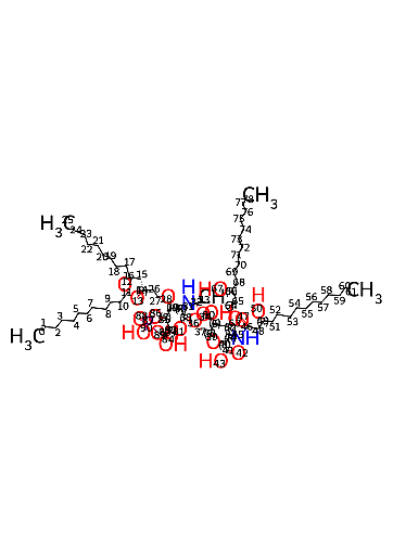 CCCCCCCCCCCC(=O)O[C@H](CCCCCCCCCCC)CCO[C@@H]1[C@@H](NC(C)=O)[C@H](OC[C@H]2O[C@H](C(=O)O)[C@H](NC(=O)C[C@H](O)CCCCCCCCCCC)[C@@H](OCC[C@H](O)CCCCCCCCCCC)[C@@H]2O)O[C@H](CO)[C@H]1OP(=O)(O)O